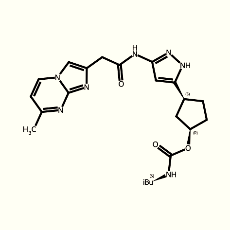 CC[C@H](C)NC(=O)O[C@@H]1CC[C@H](c2cc(NC(=O)Cc3cn4ccc(C)nc4n3)n[nH]2)C1